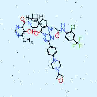 Cc1ncnc(C(=O)N2CC[C@]3(CCc4c3c(=O)n3nc(-c5ccc(N6CCN(C7COC7)CC6)cc5)nc3n4CC(=O)Nc3ccc(C(F)(F)F)cc3Cl)[C@H]3CC[C@H]32)c1O